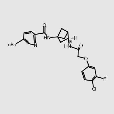 CCCCc1ccc(C(=O)NC23CC(C2)[C@@H](NC(=O)COc2ccc(Cl)c(F)c2)C3)nc1